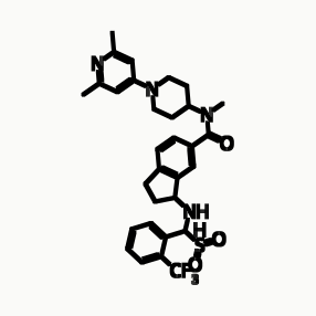 Cc1cc(N2CCC(N(C)C(=O)c3ccc4c(c3)C(NC(c3ccccc3C(F)(F)F)[SH](=O)=O)CC4)CC2)cc(C)n1